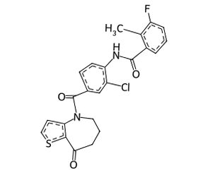 Cc1c(F)cccc1C(=O)Nc1ccc(C(=O)N2CCCC(=O)c3sccc32)cc1Cl